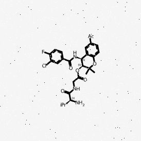 CC(=O)c1ccc2c(c1)[C@H](NC(=O)c1ccc(F)c(Cl)c1)[C@H](OC(=O)CNC(=O)[C@@H](N)C(C)C)C(C)(C)O2